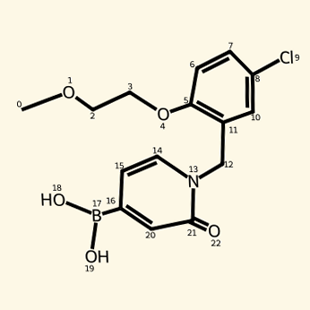 COCCOc1ccc(Cl)cc1Cn1ccc(B(O)O)cc1=O